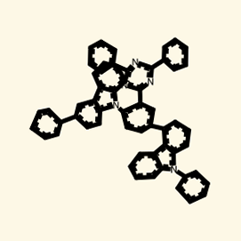 c1ccc(-c2ccc3c(c2)c2ccccc2n3-c2ccc(-c3cccc4c3c3ccccc3n4-c3ccccc3)cc2-c2nc(-c3ccccc3)nc(-c3ccccc3)n2)cc1